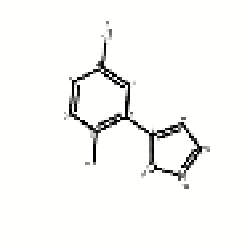 Cc1ccc(Cl)cc1-c1ccno1